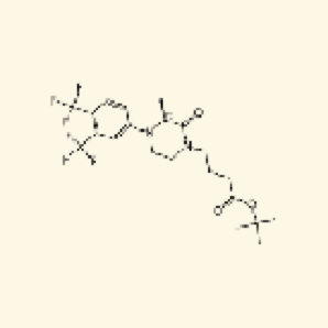 C[C@H]1C(=O)N(CCCC(=O)OC(C)(C)C)CCN1c1ccc(C(F)(F)F)c(C(F)(F)F)c1